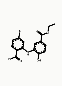 CCOC(=O)c1ccc(O)c(Nc2cc(Br)ccc2C(=O)O)c1